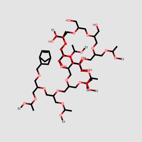 CCOC(C)OCC(COCC1CC2C=CC1C2)OCC(COC(C)OCC)OCC(COC(C)OCC)OCC(COC(C)OCC)OCC(COC(C)OCC)OCC(COC(C)OCC)OCC(COC(C)OCC)OCC(CO)OCC(CO)OCC(CO)OCC(CO)OCC(O)CO